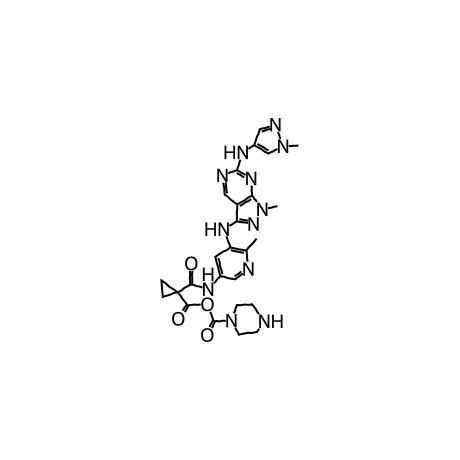 Cc1ncc(NC(=O)C2(C(=O)OC(=O)N3CCNCC3)CC2)cc1Nc1nn(C)c2nc(Nc3cnn(C)c3)ncc12